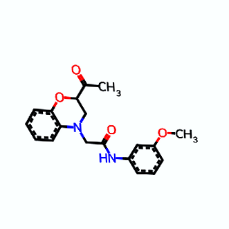 COc1cccc(NC(=O)CN2CC(C(C)=O)Oc3ccccc32)c1